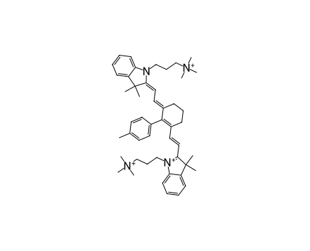 Cc1ccc(C2=C(/C=C/C3=[N+](CCC[N+](C)(C)C)c4ccccc4C3(C)C)CCC/C2=C\C=C2\N(CCC[N+](C)(C)C)c3ccccc3C2(C)C)cc1